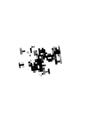 CCCCc1cn(-c2c(C(=O)O)ccn2C)c(=O)n1CC1(c2cccc(-c3nnn[nH]3)c2)C=CN=CC1